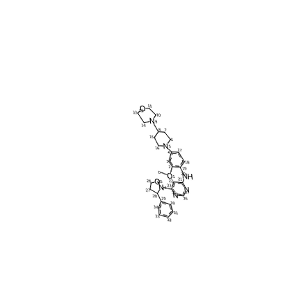 COc1cc(N2CCC(N3CCOCC3)CC2)ccc1Nc1cc(N2OCCC2c2ccccc2)ncn1